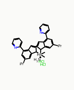 CC1=Cc2c(-c3ccccn3)cc(C(C)C)cc2[CH]1[Hf]([CH3])([CH3])(=[SiH2])[CH]1C(C)=Cc2c(-c3ccccn3)cc(C(C)C)cc21.Cl.Cl